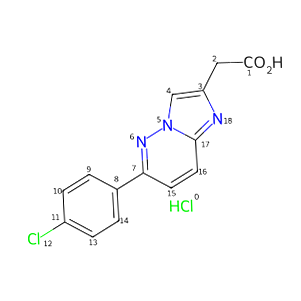 Cl.O=C(O)Cc1cn2nc(-c3ccc(Cl)cc3)ccc2n1